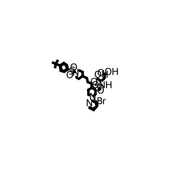 CC(C)(C)c1ccc(S(=O)(=O)N2CCC(CCCC3CCN(c4ncccc4Br)CC3S(=O)(=O)NC(CC(=O)O)C(=O)O)CC2)cc1